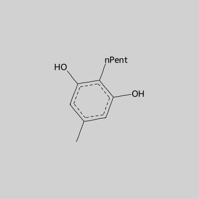 CCCCCc1c(O)cc(C)cc1O